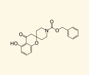 O=C1CC2(CCN(C(=O)OCc3ccccc3)CC2)Oc2cccc(O)c21